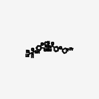 CCC(CC)NC(=O)Nc1ccc(Oc2cnc(NC(=O)c3cccc(OC4CCCN(C(C)C)C4)c3)s2)c(COC)c1